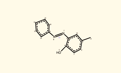 Cc1ccc(O)c(/N=N/c2ccccc2)c1